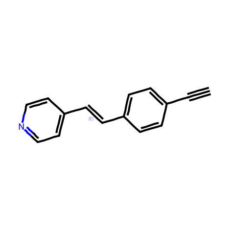 C#Cc1ccc(/C=C/c2ccncc2)cc1